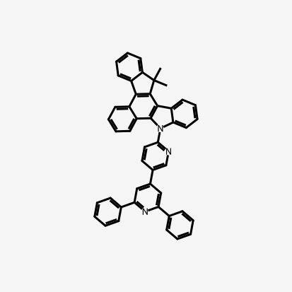 CC1(C)c2ccccc2-c2c1c1c3ccccc3n(-c3ccc(-c4cc(-c5ccccc5)nc(-c5ccccc5)c4)cn3)c1c1ccccc21